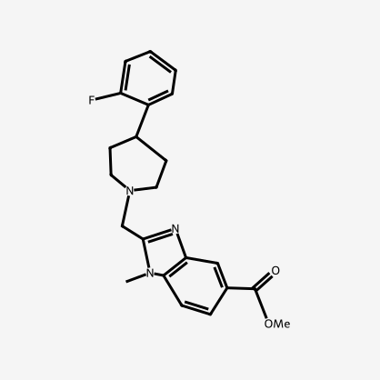 COC(=O)c1ccc2c(c1)nc(CN1CCC(c3ccccc3F)CC1)n2C